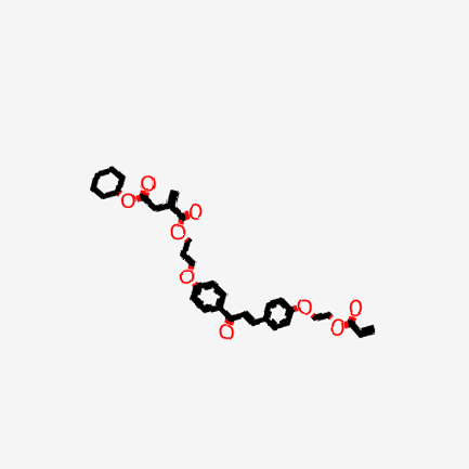 C=CC(=O)OCCOc1ccc(/C=C/C(=O)c2ccc(OCCCOC(=O)C(=C)CC(=O)OC3CCCCC3)cc2)cc1